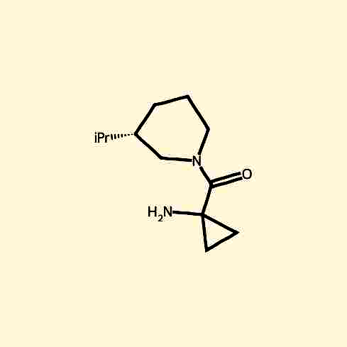 CC(C)[C@@H]1CCCN(C(=O)C2(N)CC2)C1